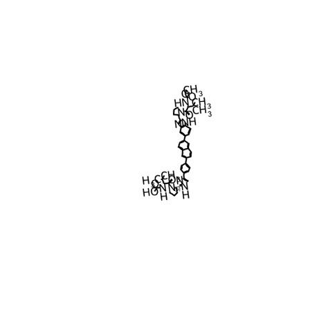 COC(=O)NC(C(=O)N1CCCC1c1nc2cc(-c3ccc4cc(-c5ccc(-c6c[nH]c([C@@H]7CCCN7C(=O)C(NC(=O)O)C(C)C)n6)cc5)ccc4c3)ccc2[nH]1)C(C)C